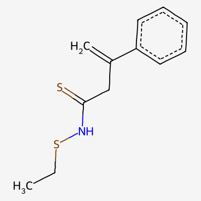 C=C(CC(=S)NSCC)c1ccccc1